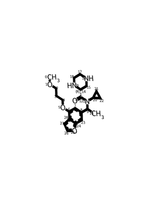 COCCCOc1cc(C(C)N(C(=O)[C@H]2CNCCN2)C2CC2)cc2occc12